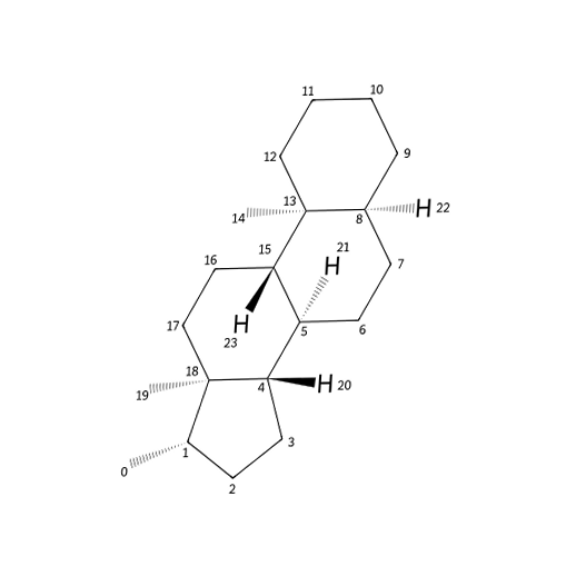 C[C@H]1CC[C@H]2[C@@H]3CC[C@@H]4CCCC[C@]4(C)[C@H]3CC[C@]12C